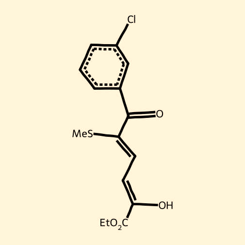 CCOC(=O)/C(O)=C/C=C(\SC)C(=O)c1cccc(Cl)c1